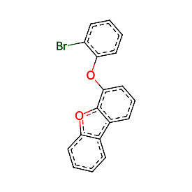 Brc1ccccc1Oc1cccc2c1oc1ccccc12